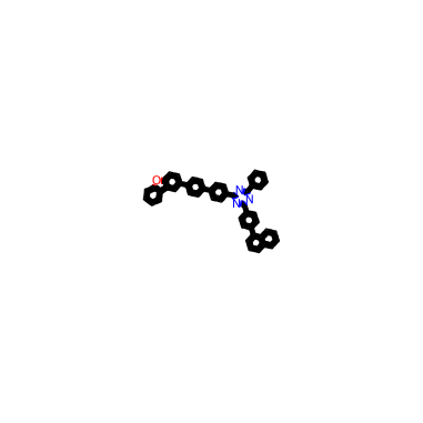 c1ccc(-c2nc(-c3ccc(-c4ccc(-c5ccc6oc7ccccc7c6c5)cc4)cc3)nc(-c3ccc(-c4cccc5ccccc45)cc3)n2)cc1